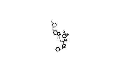 O=C(Nc1c[nH]c(=O)c(-c2cc3cc(CN4CCCC(F)C4)ccc3[nH]2)c1)c1cnn(Cc2ccccc2)c1